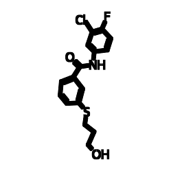 O=C(Nc1ccc(F)c(Cl)c1)c1cccc(SCCCO)c1